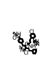 CNC(=O)Oc1ccc(-c2cc(C(Cc3ccccc3)NC(=O)C=Cc3cc(Cl)ccc3-n3cnnn3)c(Cl)nn2)cc1